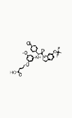 COc1cc(NC(C(=O)N2CCc3ccc(OC(C)(F)F)cc32)c2ccc(Cl)cc2)cc(OCCCC(=O)O)c1